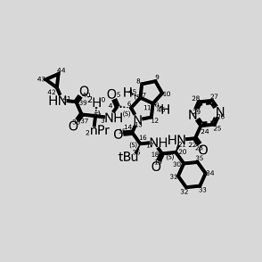 [2H][C@@](CCC)(NC(=O)[C@@H]1[C@H]2CCC[C@H]2CN1C(=O)[C@@H](NC(=O)[C@@H](NC(=O)c1cnccn1)C1CCCCC1)C(C)(C)C)C(=O)C(=O)NC1CC1